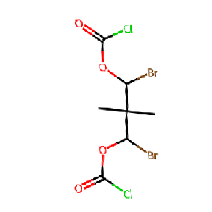 CC(C)(C(Br)OC(=O)Cl)C(Br)OC(=O)Cl